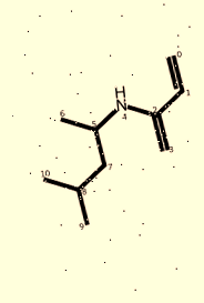 C=CC(=C)NC(C)CC(C)C